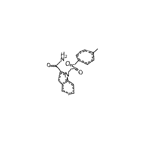 Cc1ccc(S(=O)(=O)n2c(C(N)=O)cc3c[c]ccc32)cc1